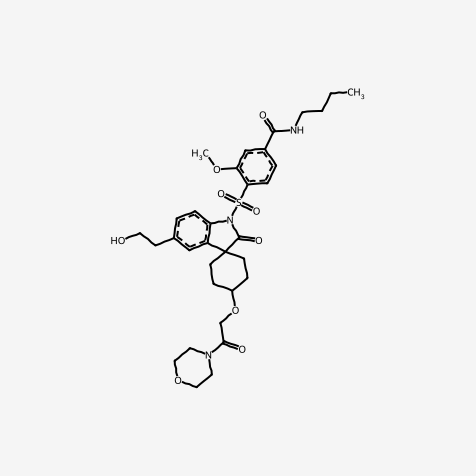 CCCCNC(=O)c1ccc(S(=O)(=O)N2C(=O)C3(CCC(OCC(=O)N4CCOCC4)CC3)c3cc(CCO)ccc32)c(OC)c1